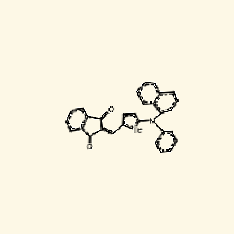 O=C1C(=Cc2ccc(N(c3ccccc3)c3cccc4ccccc34)[te]2)C(=O)c2ccccc21